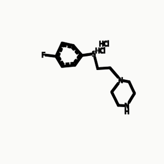 Cl.Cl.Fc1ccc(SCCN2CCNCC2)cc1